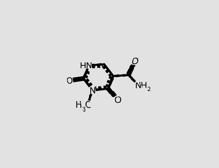 Cn1c(=O)[nH]cc(C(N)=O)c1=O